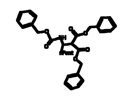 CCCCCC(NC(=O)OCc1ccccc1)C(C(=O)OCc1ccccc1)C(=O)OCc1ccccc1